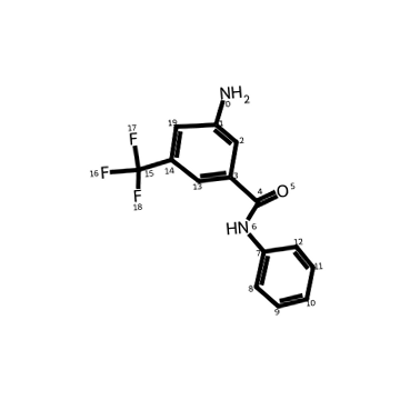 Nc1cc(C(=O)Nc2ccccc2)cc(C(F)(F)F)c1